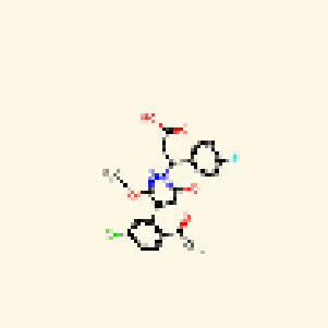 COc1nn(C(CC(=O)O)c2ccc(F)cc2)c(=O)cc1-c1cc(Cl)ccc1C(C)=O